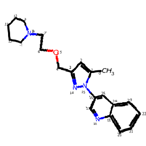 Cc1cc(COCCN2CCCCC2)nn1-c1cnc2ccccc2c1